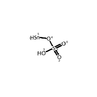 O=S(=O)(O)[O][SnH]